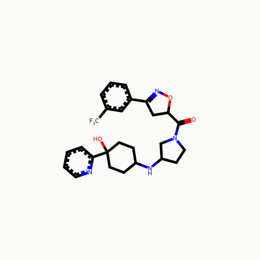 O=C(C1CC(c2cccc(C(F)(F)F)c2)=NO1)N1CCC(NC2CCC(O)(c3ccccn3)CC2)C1